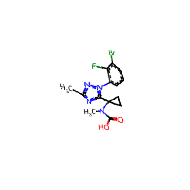 Cc1nc(C2(N(C)C(=O)O)CC2)n(-c2cccc(Br)c2F)n1